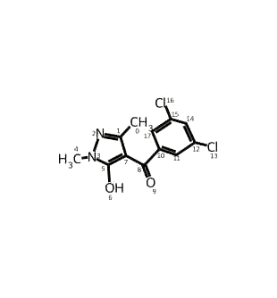 Cc1nn(C)c(O)c1C(=O)c1cc(Cl)cc(Cl)c1